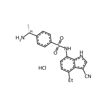 CCc1ccc(NS(=O)(=O)c2ccc([C@@H](C)N)cc2)c2[nH]cc(C#N)c12.Cl